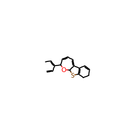 C=C/C(=C\C)C1C=CC=C2C3=C(CCC=C3)SC2O1